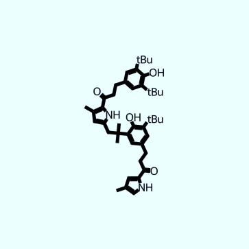 Cc1c[nH]c(C(=O)CCc2cc(C(C)(C)C)c(O)c(C(C)(C)Cc3cc(C)c(C(=O)CCc4cc(C(C)(C)C)c(O)c(C(C)(C)C)c4)[nH]3)c2)c1